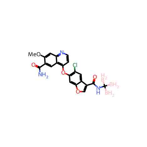 BC(B)(B)NC(=O)c1coc2cc(Oc3ccnc4cc(OC)c(C(N)=O)cc34)c(Cl)cc12